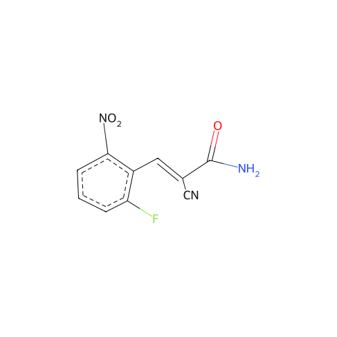 N#CC(=Cc1c(F)cccc1[N+](=O)[O-])C(N)=O